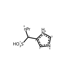 [CH2]CCC(c1cnc[nH]1)S(=O)(=O)O